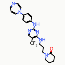 O=C1CCCCN1CCCNc1nc(Nc2ccc(N3C=CC=NC=C3)cc2)ncc1C(F)(F)F